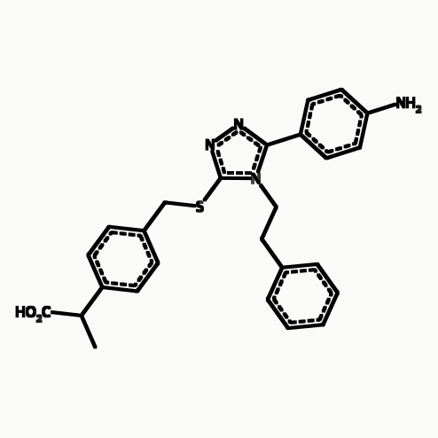 CC(C(=O)O)c1ccc(CSc2nnc(-c3ccc(N)cc3)n2CCc2ccccc2)cc1